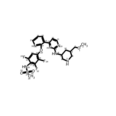 COCC1CNCC(Nc2nccc(-c3cccnc3Oc3cc(F)c(NS(C)(=O)=O)c(F)c3F)n2)C1